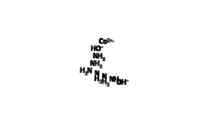 N.N.N.N.N.N.[Co+2].[OH-].[OH-]